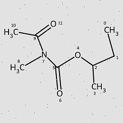 CCC(C)OC(=O)N(C)C(C)=O